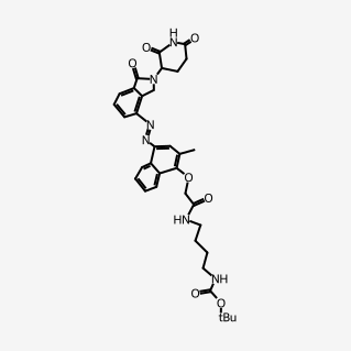 Cc1cc(/N=N/c2cccc3c2CN(C2CCC(=O)NC2=O)C3=O)c2ccccc2c1OCC(=O)NCCCCNC(=O)OC(C)(C)C